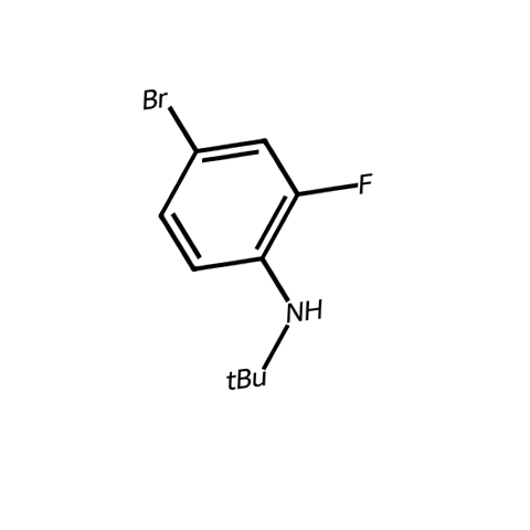 CC(C)(C)Nc1ccc(Br)cc1F